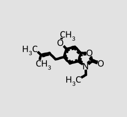 CCn1c(=O)oc2cc(OC)c(CC=C(C)C)cc21